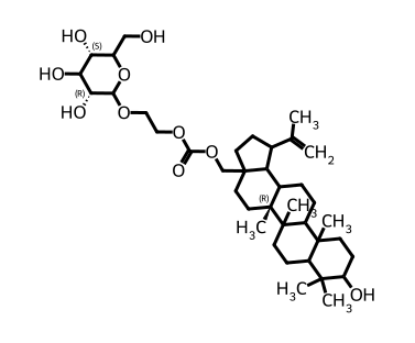 C=C(C)C1CCC2(COC(=O)OCCOC3OC(CO)[C@@H](O)C(O)[C@H]3O)CC[C@]3(C)C(CCC4C5(C)CCC(O)C(C)(C)C5CCC43C)C12